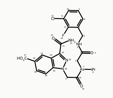 CC(C)[As](CC(=O)NCc1cccc(Cl)c1F)C(=O)Cn1nc(C(N)=O)c2cc(C(=O)O)ccc21